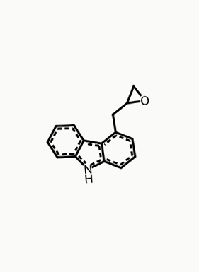 c1ccc2c(c1)[nH]c1cccc(CC3CO3)c12